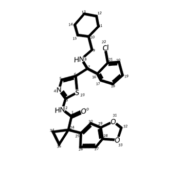 O=C(Nc1ncc(C(NCC2CCCCC2)c2ccccc2Cl)s1)C1(c2ccc3c(c2)OCO3)CC1